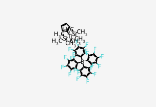 C[Si](C)(C)[Ti]([CH3])([C]1=CC=CC1)[Si](C)(C)C.Fc1c(F)c(F)c([B-](c2c(F)c(F)c(F)c(F)c2F)(c2c(F)c(F)c(F)c(F)c2F)c2c(F)c(F)c(F)c(F)c2F)c(F)c1F